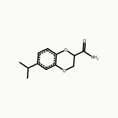 CC(C)c1ccc2c(c1)OCC(C(N)=O)O2